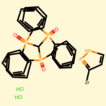 Cl.Cl.O=P(c1ccccc1)(c1ccccc1)C(P(=O)(c1ccccc1)c1ccccc1)P(=O)(c1ccccc1)c1ccccc1.[Zr][c]1cc[pH]p1